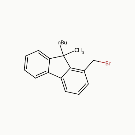 CCCCC1(C)c2ccccc2-c2cccc(CBr)c21